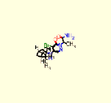 CC(C(N)=O)n1ncc(N[C@@H]2C[C@@H]3C[C@H]([C@H]2C)C3(C)C)c(Br)c1=O